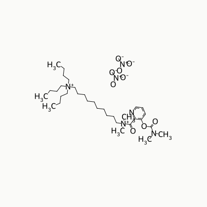 CCCC[N+](CCCC)(CCCC)CCCCCCCCCC[N+](C)(C)C(=O)c1ncccc1OC(=O)N(C)C.O=[N+]([O-])[O-].O=[N+]([O-])[O-]